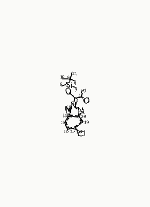 CC(=O)C(O[Si](C)(C)C(C)(C)C)n1nc2ccc(Cl)cc2n1